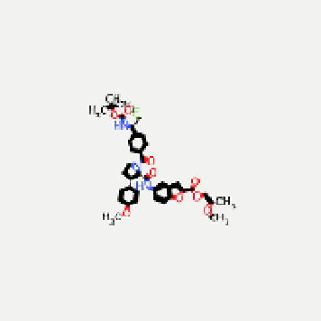 COC1CCC([C@@H]2CCN(C(=O)C3CCC([C@@H](CF)NC(=O)OC(C)(C)C)CC3)[C@@H]2C(=O)Nc2ccc3oc(C(=O)OC[C@H](C)OC)cc3c2)CC1